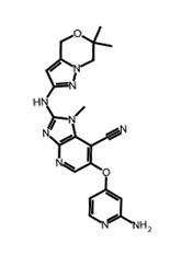 Cn1c(Nc2cc3n(n2)CC(C)(C)OC3)nc2ncc(Oc3ccnc(N)c3)c(C#N)c21